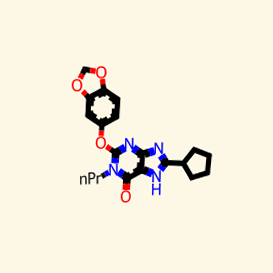 CCCn1c(Oc2ccc3c(c2)OCO3)nc2nc(C3CCCC3)[nH]c2c1=O